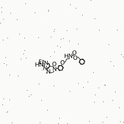 CCNc1ncc2c(n1)N(C)CCN(c1cccc(OCCCNC(=O)OCc3ccccc3)c1)C2=O